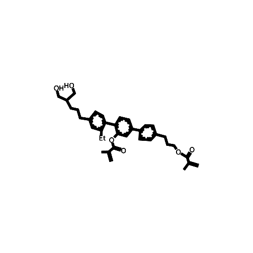 C=C(C)C(=O)OCCCc1ccc(-c2ccc(-c3ccc(CCCC(CO)CO)cc3CC)c(OC(=O)C(=C)C)c2)cc1